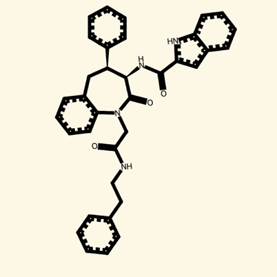 O=C(CN1C(=O)[C@H](NC(=O)c2cc3ccccc3[nH]2)[C@H](c2ccccc2)Cc2ccccc21)NCCc1ccccc1